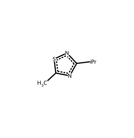 Cc1nc(C(C)C)ns1